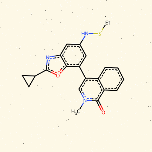 CCSNc1cc(-c2cn(C)c(=O)c3ccccc23)c2oc(C3CC3)nc2c1